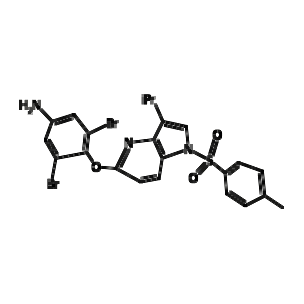 Cc1ccc(S(=O)(=O)n2cc(C(C)C)c3nc(Oc4c(Br)cc(N)cc4Br)ccc32)cc1